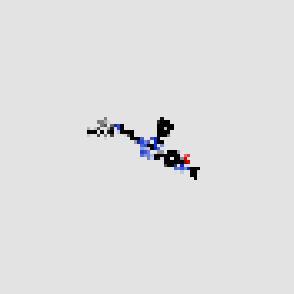 CC(C)(C)N(CC=CCCNc1nc(-c2ccccc2)cn2c(-c3ccc(C(=O)NC4CC4)cc3)cnc12)C(=O)O